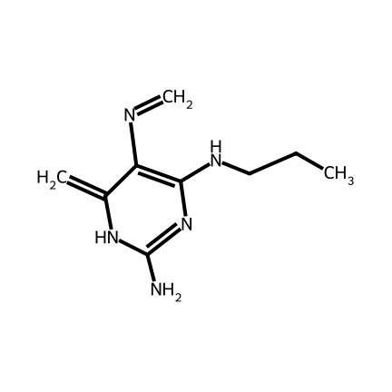 C=NC1=C(NCCC)N=C(N)NC1=C